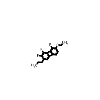 CCCc1cc2c(c(F)c1F)-c1c-2ccc(OCC)c1F